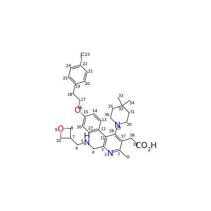 Cc1nc(CNCC2COC2)c(-c2ccc(OCCc3ccc(F)cc3)cc2)c(N2CCC(C)(C)CC2)c1CC(=O)O